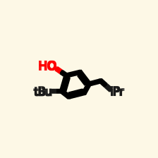 CC(C)Cc1ccc(C(C)(C)C)c(O)c1